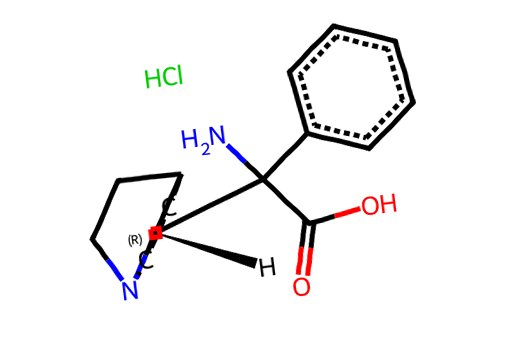 Cl.NC(C(=O)O)(c1ccccc1)[C@H]1CN2CCC1CC2